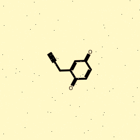 C#CCC1=CC(=O)C=CC1=O